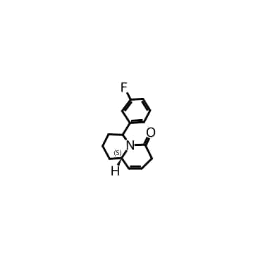 O=C1CC=C[C@@H]2CCCC(c3cccc(F)c3)N12